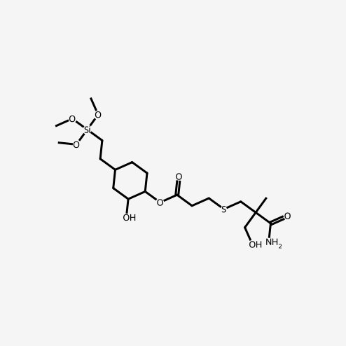 CO[Si](CCC1CCC(OC(=O)CCSCC(C)(CO)C(N)=O)C(O)C1)(OC)OC